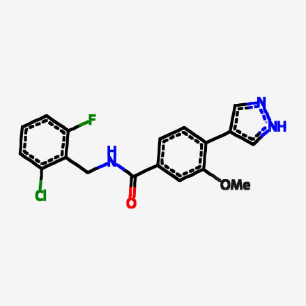 COc1cc(C(=O)NCc2c(F)cccc2Cl)ccc1-c1cn[nH]c1